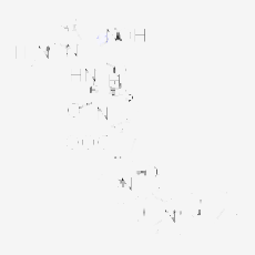 Nc1nc(/C(=N/O)C(=O)N[C@@H]2C(=O)N3C(C(=O)[O-])=C(C=C4CCN(Cc5cc[n+](Cc6ccccc6)cc5)C4=O)CS[C@H]23)cs1